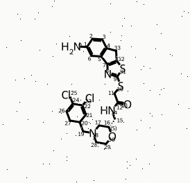 Nc1ccc2c(c1)-c1nc(SCC(=O)NC[C@H]3CN(CC4C=C(Cl)C(Cl)=CC4)CCO3)sc1C2